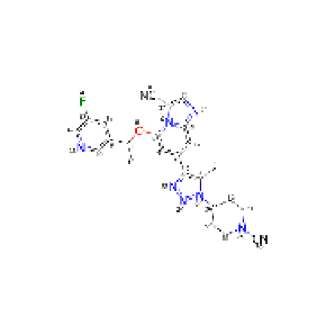 Cc1c(-c2cc(OC(C)c3cncc(F)c3)n3c(C#N)cnc3c2)nnn1C1CCN(C#N)CC1